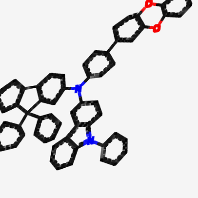 c1ccc(-n2c3ccccc3c3cc(N(c4ccc(-c5ccc6c(c5)Oc5ccccc5O6)cc4)c4ccc5c(c4)C(c4ccccc4)(c4ccccc4)c4ccccc4-5)ccc32)cc1